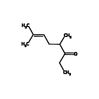 CCC(=O)C(C)CC=C(C)C